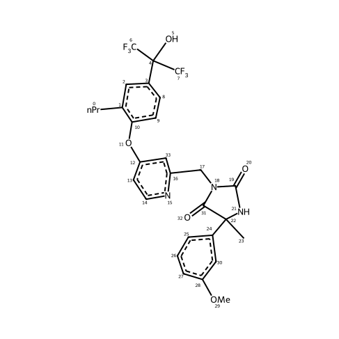 CCCc1cc(C(O)(C(F)(F)F)C(F)(F)F)ccc1Oc1ccnc(CN2C(=O)NC(C)(c3cccc(OC)c3)C2=O)c1